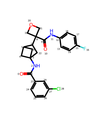 O=C(NC12CC(C1)C(C1(C(=O)Nc3ccc(F)cc3)COC1)C2)c1cccc(Cl)c1